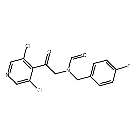 O=CN(CC(=O)c1c(Cl)cncc1Cl)Cc1ccc(F)cc1